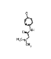 CN(C)CC(=O)Nc1ccc(Cl)cc1